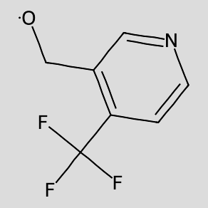 [O]Cc1cnccc1C(F)(F)F